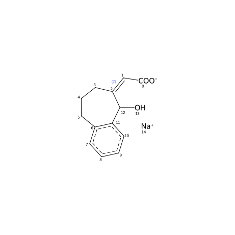 O=C([O-])/C=C1/CCCc2ccccc2C1O.[Na+]